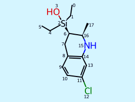 CC[Si](O)(CC)[C@@H]1Cc2ccc(Cl)cc2N[C@@H]1C